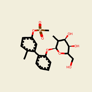 Cc1ccc(OS(C)(=O)=O)cc1-c1ccccc1O[C@@H]1OC(CO)[C@H](O)[C@H](O)C1C